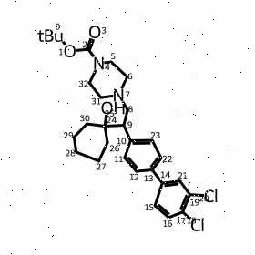 CC(C)(C)OC(=O)N1CCN(CC(c2ccc(-c3ccc(Cl)c(Cl)c3)cc2)C2(O)CCCCC2)CC1